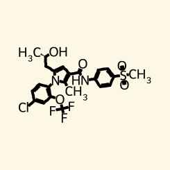 Cc1c(C(=O)Nc2ccc(S(C)(=O)=O)cc2)cc(C[C@H](C)O)n1-c1ccc(Cl)cc1OC(F)(F)F